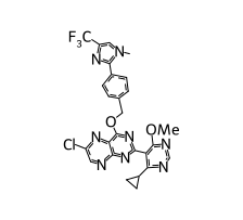 COc1ncnc(C2CC2)c1-c1nc(OCc2ccc(-c3nc(C(F)(F)F)cn3C)cc2)c2nc(Cl)cnc2n1